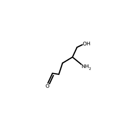 NC(CO)CCC=O